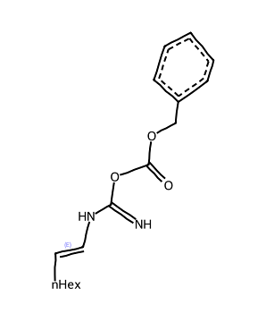 CCCCCC/C=C/NC(=N)OC(=O)OCc1ccccc1